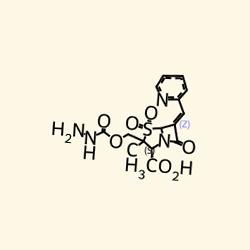 CC1(COC(=O)NN)[C@H](C(=O)O)N2C(=O)/C(=C/c3ccccn3)C2S1(=O)=O